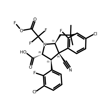 CC(C)(C)C[C@@H]1N(C(F)(F)C(=O)OF)[C@@H](C(=O)O)[C@H](c2cccc(Cl)c2F)[C@@]1(C#N)c1ccc(Cl)cc1F